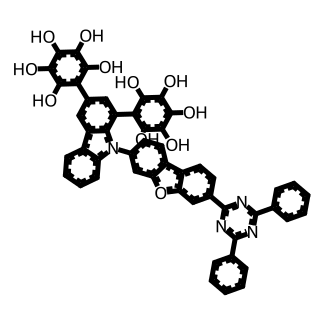 Oc1c(O)c(O)c(-c2cc(-c3c(O)c(O)c(O)c(O)c3O)c3c(c2)c2ccccc2n3-c2ccc3c(c2)oc2cc(-c4nc(-c5ccccc5)nc(-c5ccccc5)n4)ccc23)c(O)c1O